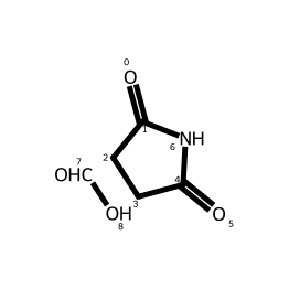 O=C1CCC(=O)N1.O=CO